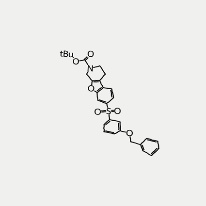 CC(C)(C)OC(=O)N1CCc2c(oc3cc(S(=O)(=O)c4cccc(OCc5ccccc5)c4)ccc23)C1